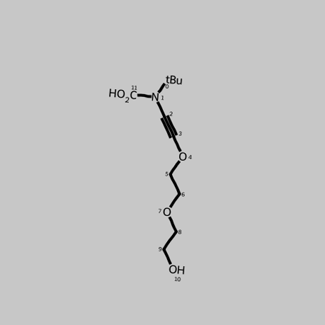 CC(C)(C)N(C#COCCOCCO)C(=O)O